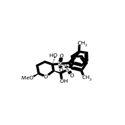 CO[C@H]1CC[C@@](O)(S(=O)(=O)c2cccc(C)c2)[C@@H](C(O)S(=O)(=O)c2cccc(C)c2)O1